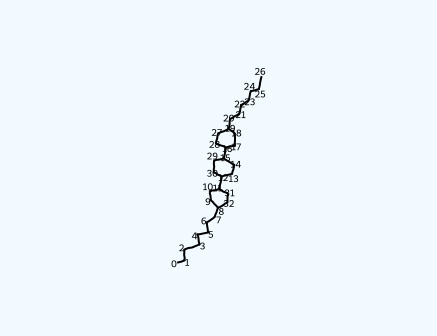 CCCCCCCCC1CCC(C2CCC(C3CCC(CCCCCCC)CC3)CC2)CC1